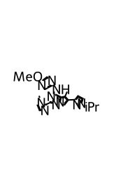 COc1cnc(Nc2nc(-c3nccn3C)nn3cc(-c4ccn(C(C)C)n4)c(C)c23)cn1